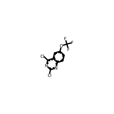 FC(F)(F)Oc1ccc2nc(Cl)nc(Cl)c2c1